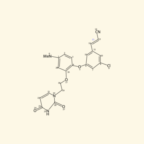 CNc1ccc(Oc2cc(Cl)cc(/C=C/C#N)c2)c(OCCn2ccc(=O)[nH]c2=O)c1